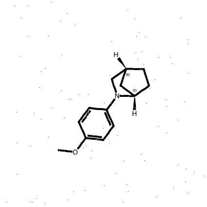 COc1ccc(N2C[C@@H]3CC[C@H]2C3)cc1